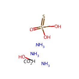 N.N.N.O=C(O)O.O=S(O)(O)=S